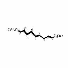 CCCC/C=C/CCCCCCCC=O